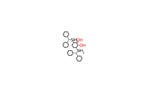 Oc1c([SiH2]C(c2ccccc2)c2ccccc2)ccc([SiH2]C(c2ccccc2)c2ccccc2)c1O